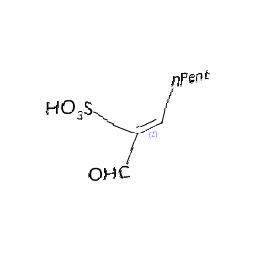 CCCCC/C=C(/C=O)S(=O)(=O)O